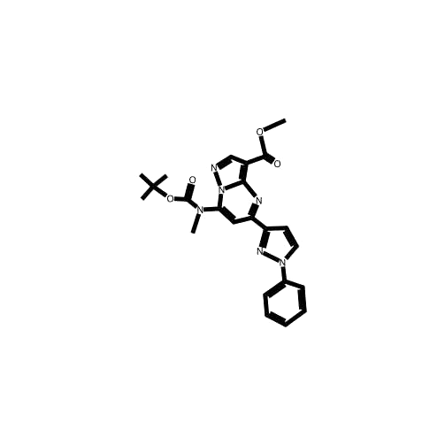 COC(=O)c1cnn2c(N(C)C(=O)OC(C)(C)C)cc(-c3ccn(-c4ccccc4)n3)nc12